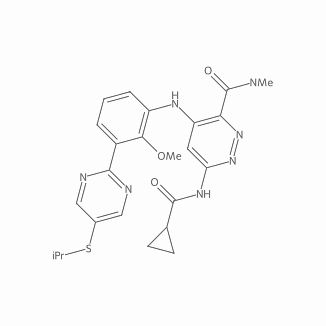 CNC(=O)c1nnc(NC(=O)C2CC2)cc1Nc1cccc(-c2ncc(SC(C)C)cn2)c1OC